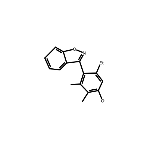 CCc1cc([O])c(C)c(C)c1-c1noc2ccccc12